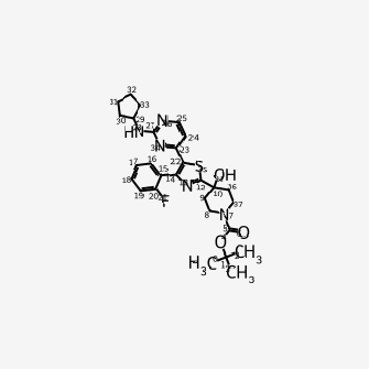 CC(C)(C)OC(=O)N1CCC(O)(c2nc(-c3ccccc3F)c(-c3ccnc(NC4CCCC4)n3)s2)CC1